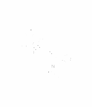 Cc1[nH]n(C2CCN(C[C@H]3CN([C@@H](C(=O)O)C4CCCCC4)C[C@@H]3c3ccccc3)CC2)c(=O)c1-c1ccccc1